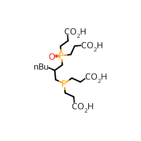 CCCCC(CP(CCC(=O)O)CCC(=O)O)CP(=O)(CCC(=O)O)CCC(=O)O